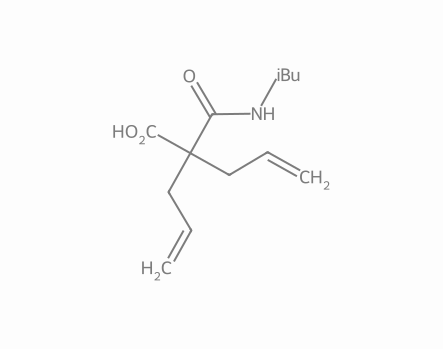 C=CCC(CC=C)(C(=O)O)C(=O)NC(C)CC